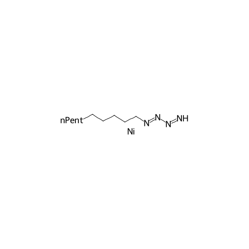 CCCCCCCCCCN=NN=N.[Ni]